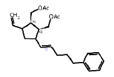 C=CC1CC(/C=C/CCCc2ccccc2)[C@H](COC(C)=O)[C@@H]1COC(C)=O